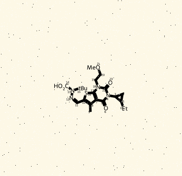 CCC1CC1n1c(=O)c2c(C)c(/C=N\N(C(=O)O)C(C)(C)C)sc2n(CCOC)c1=O